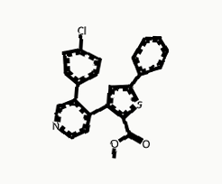 COC(=O)c1sc(-c2ccccc2)cc1-c1ccncc1-c1ccc(Cl)cc1